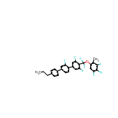 CCCc1ccc(-c2ccc(-c3cc(F)c(C(F)(F)Oc4cc(F)c(F)c(F)c4C)c(F)c3)c(F)c2)cc1